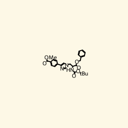 COC(=O)c1ccc(-c2cn(CC(NC(=O)OC(C)(C)C)C(=O)OCc3ccccc3)cn2)cc1